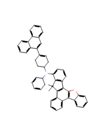 CC1(C)c2c(cccc2N(C2C=CC=CC2)C2CC=C(c3cc4ccccc4c4ccccc34)CC2)-c2c1c1ccccc1c1c2oc2ccccc21